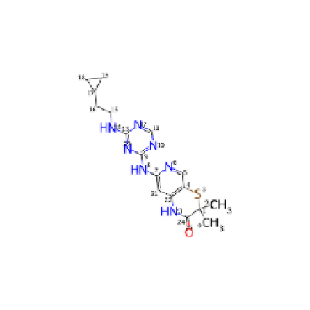 CC1(C)Sc2cnc(Nc3ncnc(NCCC4CC4)n3)cc2NC1=O